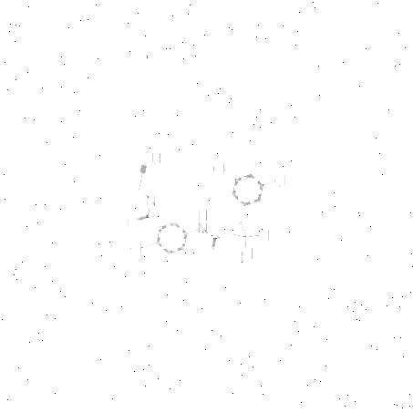 C#CCNC(=O)c1cc(NC(=O)[C@H]2[C@H](c3cc(Cl)cc(Cl)c3)C2(Cl)Cl)ccc1Cl